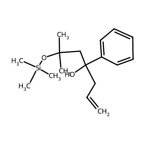 C=CCC(O)(CC(C)(C)O[Si](C)(C)C)c1ccccc1